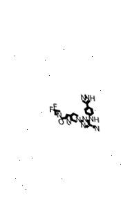 Cn1c(C(=O)N2CC(F)(F)C2)cc2c1CN(c1ncc(C#N)c(Nc3ccc(-c4cn[nH]c4)cc3)n1)CC2